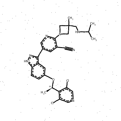 CC(C)NCC1(C)CN(c2ncc(-c3n[nH]c4ccc(O[C@H](C)c5c(Cl)cncc5Cl)cc34)cc2C#N)C1